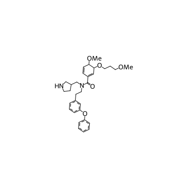 COCCCOC1C=C(C(=O)N(CCc2cccc(Oc3ccccc3)c2)CC2CCNC2)C=CC1OC